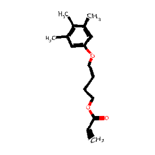 C=CC(=O)OCCCCOc1cc(C)c(C)c(C)c1